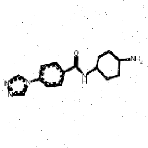 NC1CCC(NC(=O)c2ccc(-n3cnnc3)cc2)CC1